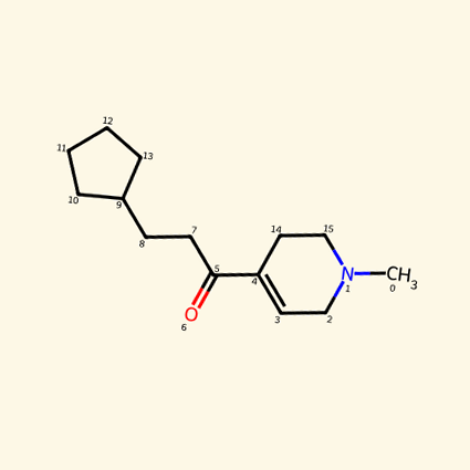 CN1CC=C(C(=O)CCC2CCCC2)CC1